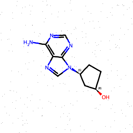 Nc1ncnc2c1ncn2[C@H]1CC[C@@H](O)C1